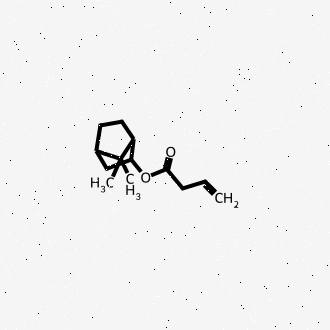 C=CCC(=O)OC1CC2CCC1C2(C)C